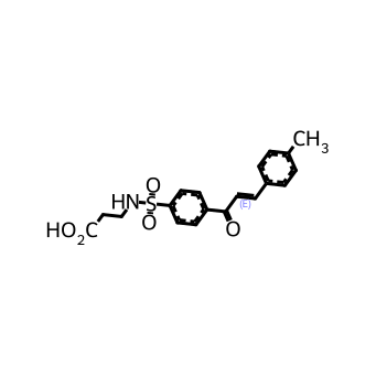 Cc1ccc(/C=C/C(=O)c2ccc(S(=O)(=O)NCCC(=O)O)cc2)cc1